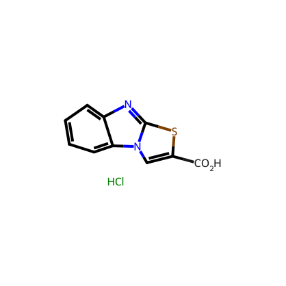 Cl.O=C(O)c1cn2c(nc3ccccc32)s1